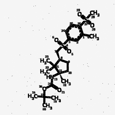 Cc1cc(S(=O)(=O)C[C@H]2CC[C@@](C)(NC(=O)OC(C)(C)C)C2(C)C)ccc1S(C)(=O)=O